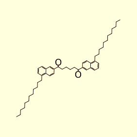 CCCCCCCCCCCCc1cccc2cc(C(=O)CCCCC(=O)c3ccc4c(CCCCCCCCCCCC)cccc4c3)ccc12